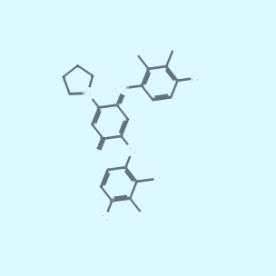 Cc1c(N)ccc(/N=C2\C=C(Nc3ccc(N)c(C)c3C)C(=O)C=C2N2CCCC2)c1C